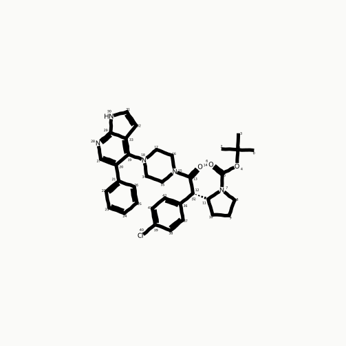 CC(C)(C)OC(=O)N1CCCC1[C@@H](C(=O)N1CCN(c2c(-c3ccccc3)cnc3[nH]ccc23)CC1)c1ccc(Cl)cc1